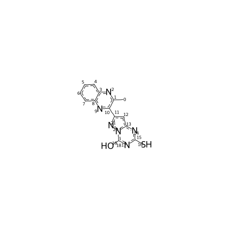 Cc1nc2ccccc2nc1-c1cc2nc(S)nc(O)n2n1